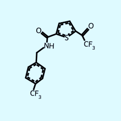 O=C(NCc1ccc(C(F)(F)F)cc1)c1ccc(C(=O)C(F)(F)F)s1